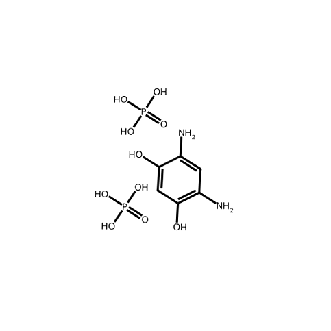 Nc1cc(N)c(O)cc1O.O=P(O)(O)O.O=P(O)(O)O